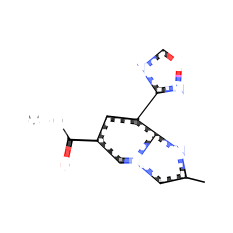 COC(=O)c1cc(-c2ncon2)c2nc(C)cn2c1